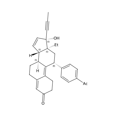 CC#C[C@]1(O)C=C[C@H]2[C@@H]3CCC4=CC(=O)CCC4=C3[C@@H](c3ccc(C(C)=O)cc3)C[C@@]21CC